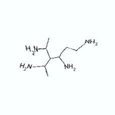 CC(N)C(C(C)N)C(N)CCN